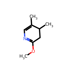 COC1=NC=C(C)C(C)C1